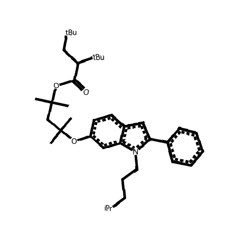 CC(C)CCCn1c(-c2ccccc2)cc2ccc(OC(C)(C)CC(C)(C)OC(=O)C(CC(C)(C)C)C(C)(C)C)cc21